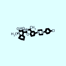 CC(NC(=O)c1c(O)c(=O)n(C)c2ccccc12)c1cccc(N2CCN(c3ccc(Cl)cc3)CC2)c1